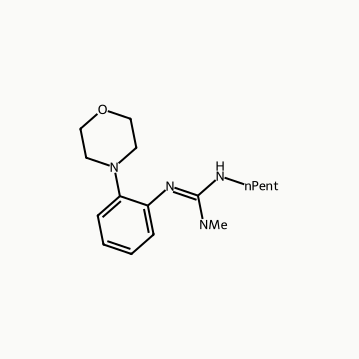 CCCCCN/C(=N/c1ccccc1N1CCOCC1)NC